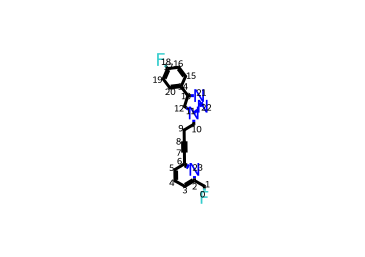 FCc1cccc(C#CCCN2CC(c3ccc(F)cc3)N=N2)n1